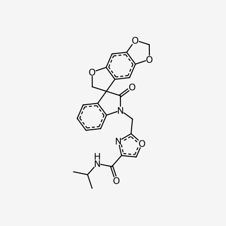 CC(C)NC(=O)c1coc(CN2C(=O)C3(COc4cc5c(cc43)OCO5)c3ccccc32)n1